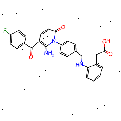 Nc1c(C(=O)c2ccc(F)cc2)ccc(=O)n1-c1ccc(CNc2ccccc2CC(=O)O)cc1